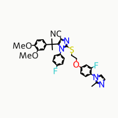 COc1ccc(C(C)(C)c2c(C#N)nc(SCCOc3ccc(-n4ccnc4C)c(F)c3)n2-c2ccc(F)cc2)cc1OC